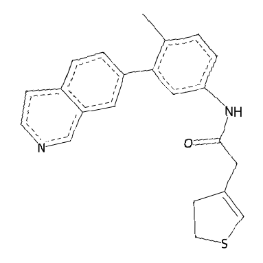 Cc1ccc(NC(=O)CC2=CSCC2)cc1-c1ccc2ccncc2c1